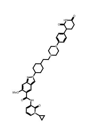 COc1cc2nn(C3CCC(CCN4CCN(c5ccc(C6CCC(=O)NC6=O)cc5)CC4)CC3)cc2cc1C(=O)Nc1cccn(C2CC2)c1=O